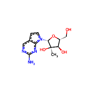 C[C@@]1(O)[C@H](O)[C@@H](CO)O[C@H]1n1ccc2cnc(N)nc21